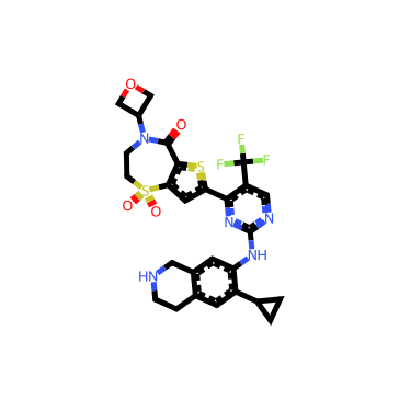 O=C1c2sc(-c3nc(Nc4cc5c(cc4C4CC4)CCNC5)ncc3C(F)(F)F)cc2S(=O)(=O)CCN1C1COC1